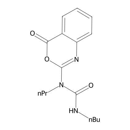 CCCCNC(=O)N(CCC)c1nc2ccccc2c(=O)o1